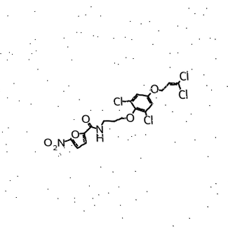 O=C(NCCCOc1c(Cl)cc(OCC=C(Cl)Cl)cc1Cl)c1ccc([N+](=O)[O-])o1